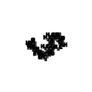 CNc1ccn(-c2ccnc3c2cc([C@H](C)N2CC=C(c4c(C)cc(C(=O)N5CCC(CN6CCN(c7ncc(N[C@@H]8CCC(=O)NC8=O)cc7F)C[C@@H]6C)CC5)cc4F)CC2)n3C)c(=O)c1